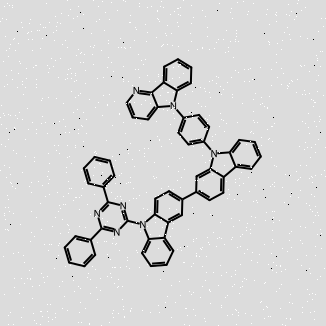 c1ccc(-c2nc(-c3ccccc3)nc(-n3c4ccccc4c4cc(-c5ccc6c7ccccc7n(-c7ccc(-n8c9ccccc9c9ncccc98)cc7)c6c5)ccc43)n2)cc1